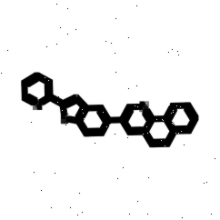 c1ccc(-c2cc3cc(-c4cnc5c(ccc6ccccc65)c4)ccc3s2)nc1